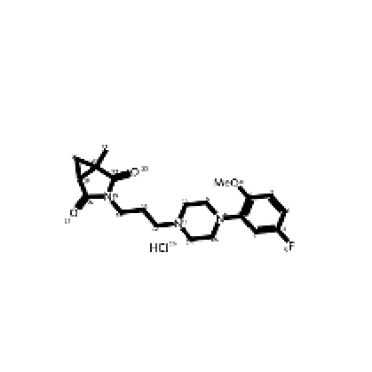 COc1ccc(F)cc1N1CCN(CCCN2C(=O)C3CC3(C)C2=O)CC1.Cl